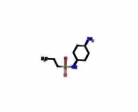 CCCS(=O)(=O)N[C@H]1CC[C@@H](N)CC1